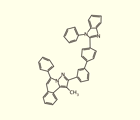 Cc1c(-c2cccc(-c3ccc(-c4nc5ccccc5n4-c4ccccc4)cc3)c2)nn2c(-c3ccccc3)cc3ccccc3c12